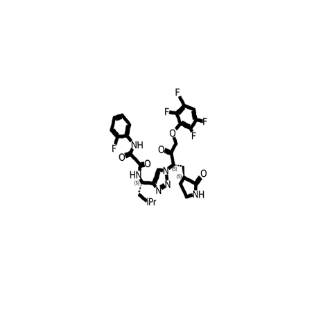 CC(C)C[C@H](NC(=O)C(=O)Nc1ccccc1F)c1cn([C@@H](C[C@@H]2CCNC2=O)C(=O)COc2c(F)c(F)cc(F)c2F)nn1